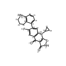 O=c1[nH]sc2c1c(=O)c1cc(F)c(-c3cccc4c3CCCN4)cc1n2C1CC1